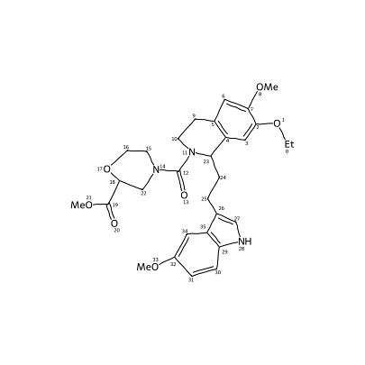 CCOc1cc2c(cc1OC)CCN(C(=O)N1CCOC(C(=O)OC)C1)C2CCc1c[nH]c2ccc(OC)cc12